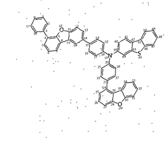 c1ccc(-c2cccc3c2oc2ccc(-c4ccc(N(c5ccc(-c6cccc7oc8ccccc8c67)cc5)c5ccc6c(c5)sc5ccccc56)cc4)cc23)cc1